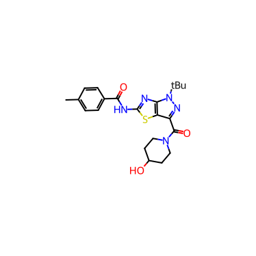 Cc1ccc(C(=O)Nc2nc3c(s2)c(C(=O)N2CCC(O)CC2)nn3C(C)(C)C)cc1